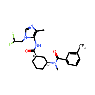 Cc1ncn(CC(F)F)c1NC(=O)[C@@H]1CCC[C@H](N(C)C(=O)c2cccc(C(F)(F)F)c2)C1